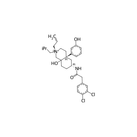 C=CC[N@@+]1(CC(C)C)CC[C@]2(c3cccc(O)c3)C[C@H](NC(=O)Cc3ccc(Cl)c(Cl)c3)CCC2(O)C1